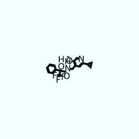 COc1cnc(C2CC2)cc1CNC(=O)C(O)(c1ccccc1)C(F)(F)F